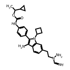 CC(OC(=O)Nc1ccc(-c2c(N)c3ccc(CCN(N)C=N)cc3n2C2CCC2)cc1)C1CC1